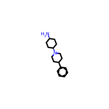 N[C@H]1CC[C@@H](N2CCC(c3ccccc3)CC2)CC1